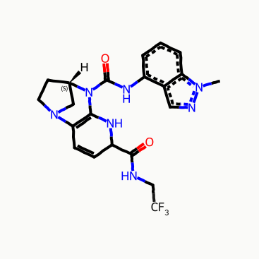 Cn1ncc2c(NC(=O)N3C4=C(C=CC(C(=O)NCC(F)(F)F)N4)N4CC[C@H]3C4)cccc21